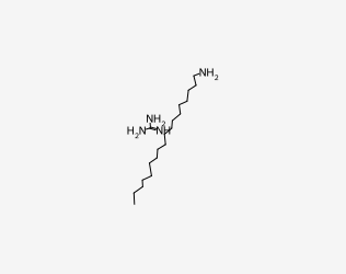 CCCCCCCCCCCCCCCCCCN.N=C(N)N